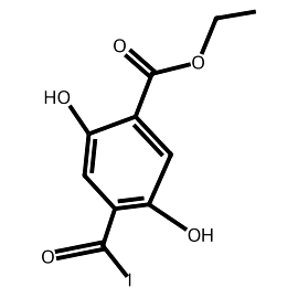 CCOC(=O)c1cc(O)c(C(=O)I)cc1O